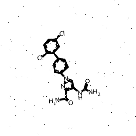 NC(=O)Nc1cn(-c2ccc(-c3cc(Cl)ccc3Cl)cc2)nc1C(N)=O